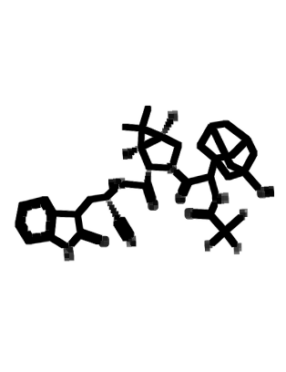 CC1(C)[C@@H]2[C@@H](C(=O)N[C@H](C#N)CC3C(=O)Nc4ccccc43)N(C(=O)C(NC(=O)C(F)(F)F)C34CC5CC(CC(O)(C5)C3)C4)C[C@@H]21